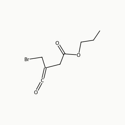 CCCOC(=O)CC(=C=O)CBr